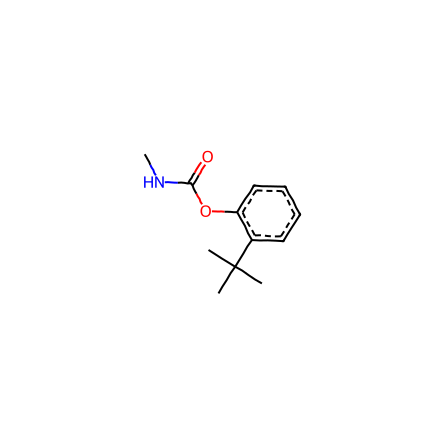 CNC(=O)Oc1ccccc1C(C)(C)C